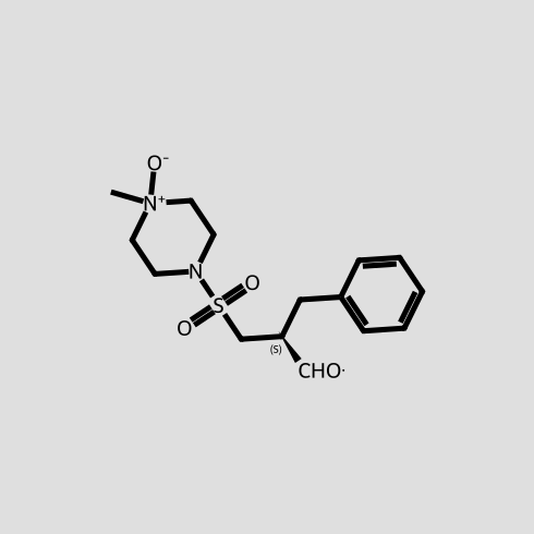 C[N+]1([O-])CCN(S(=O)(=O)C[C@H]([C]=O)Cc2ccccc2)CC1